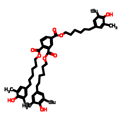 Cc1cc(CCCCCCOC(=O)c2ccc(C(=O)OCCCCCCc3cc(C)c(O)c(C(C)(C)C)c3)c(C(=O)OCCCCCCc3cc(C)c(O)c(C(C)(C)C)c3)c2)cc(C(C)(C)C)c1O